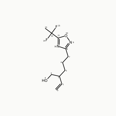 C=CC(CO)CCCc1noc(C(C)(F)F)n1